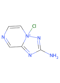 NC1=N[N+]2(Cl)C=CN=CC2=N1